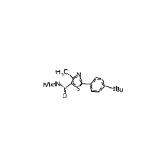 CNC(=O)c1sc(-c2ccc(C(C)(C)C)cc2)nc1C